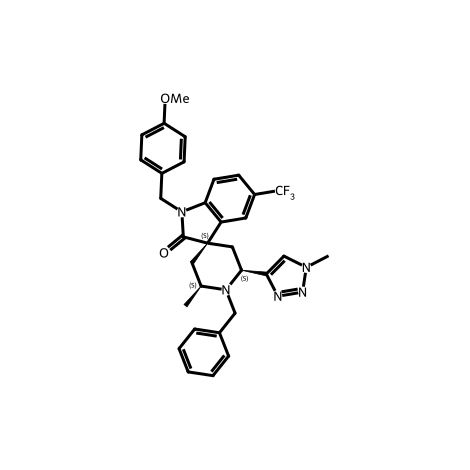 COc1ccc(CN2C(=O)[C@]3(C[C@H](C)N(Cc4ccccc4)[C@H](c4cn(C)nn4)C3)c3cc(C(F)(F)F)ccc32)cc1